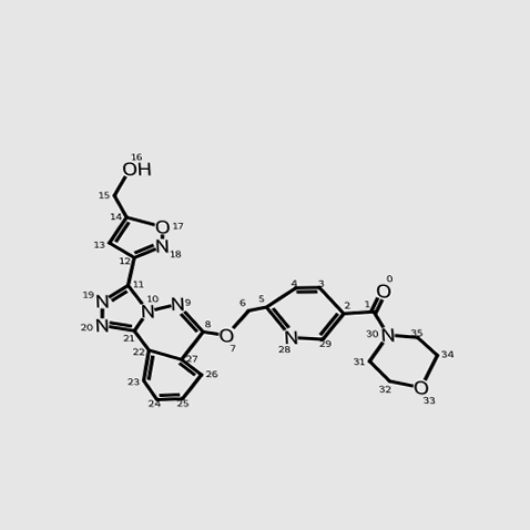 O=C(c1ccc(COc2nn3c(-c4cc(CO)on4)nnc3c3ccccc23)nc1)N1CCOCC1